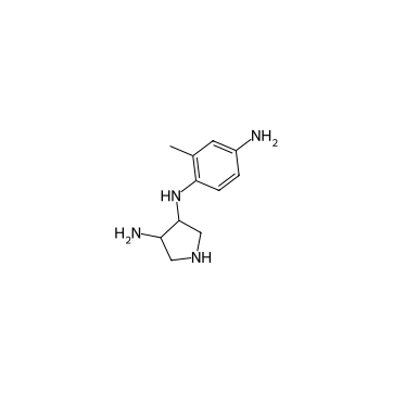 Cc1cc(N)ccc1NC1CNCC1N